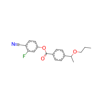 CCCOC(C)c1ccc(C(=O)Oc2ccc(C#N)c(F)c2)cc1